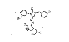 CC(C)c1cccc(N2C(=O)C(=Cc3cccc(Br)c3)SC2=NN=C2C(=O)Nc3ccc(Cl)cc32)c1